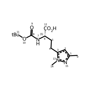 Cc1cc(CC[C@H](NC(=O)OC(C)(C)C)C(=O)O)n(C)n1